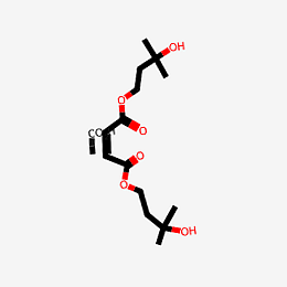 CC(=O)O.CC(C)(O)CCOC(=O)/C=C\C(=O)OCCC(C)(C)O